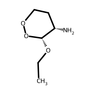 CCO[C@@H]1OOCC[C@@H]1N